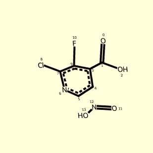 O=C(O)c1ccnc(Cl)c1F.O=NO